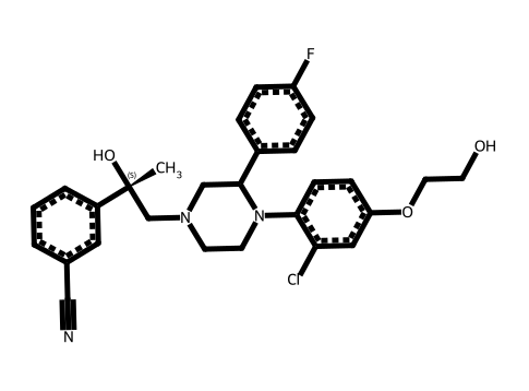 C[C@@](O)(CN1CCN(c2ccc(OCCO)cc2Cl)C(c2ccc(F)cc2)C1)c1cccc(C#N)c1